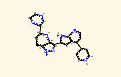 c1cc(-c2ccnc3[nH]c(-c4n[nH]c5ccc(-c6cnccn6)nc45)cc23)ccn1